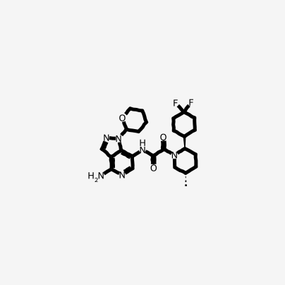 C[C@H]1CC[C@H](C2CCC(F)(F)CC2)N(C(=O)C(=O)Nc2cnc(N)c3cnn(C4CCCCO4)c23)C1